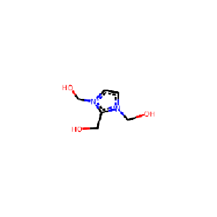 OCc1n(CO)cc[n+]1CO